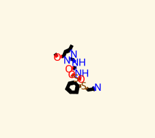 COc1cc(C)nc(NC(=O)NS(=O)(=O)c2ccccc2SCC#N)n1